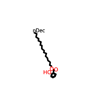 CCCCCCCCCCCCCCCCCCCCCCCCCCCCOC(=O)c1ccccc1O